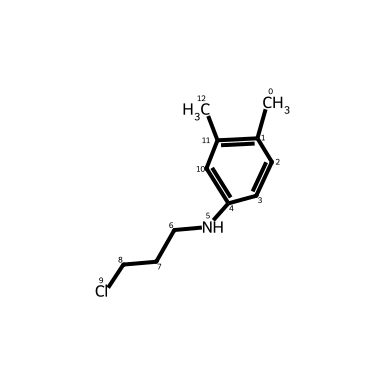 Cc1ccc(NCCCCl)cc1C